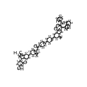 CN1N=C(N2CCC(=O)NC2=O)C2CCC(C3CCN(CC(=O)N4CCN(C5CCC(C6CC(F)C7CN(C(C(=O)Nc8nccs8)c8ncn9c8CCC9)C(=O)C7C6)CC5)CC4)C4(CC4)C3)CC21